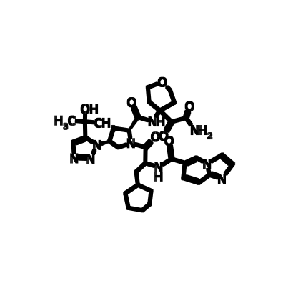 CC(C)(O)c1cnnn1[C@H]1C[C@@H](C(=O)NC2(C(=O)C(N)=O)CCOCC2)N(C(=O)C(CC2CCCCC2)NC(=O)c2ccc3nccn3c2)C1